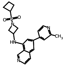 Cc1cc(-c2cc(NC3CN(S(=O)(=O)C4CCC4)C3)c3cnccc3c2)ccn1